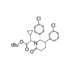 CC(C)(C)OC(=O)C(C1CC1)N1C(=O)CCC(c2cccc(Cl)c2)[C@H]1c1ccc(Cl)cc1